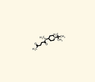 CC(=O)CCC(=O)N(C)C1CCN(C(C)(C)C)CC1